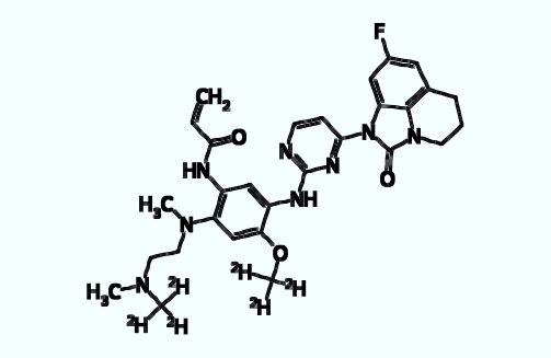 [2H]C([2H])([2H])Oc1cc(N(C)CCN(C)C([2H])([2H])[2H])c(NC(=O)C=C)cc1Nc1nccc(-n2c(=O)n3c4c(cc(F)cc42)CCC3)n1